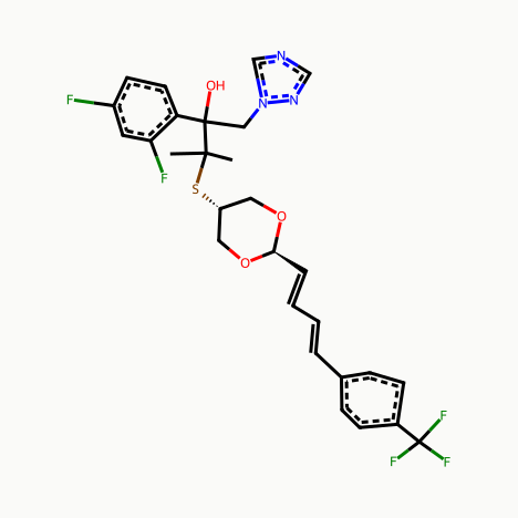 CC(C)(S[C@H]1CO[C@H](C=CC=Cc2ccc(C(F)(F)F)cc2)OC1)C(O)(Cn1cncn1)c1ccc(F)cc1F